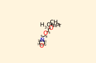 CCCC(C)(C)OCCOCCN1CCOCC1